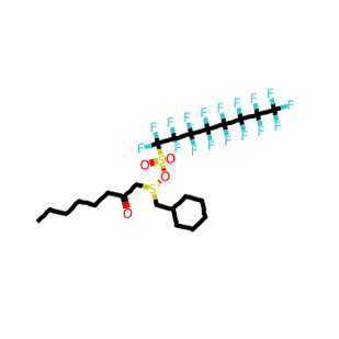 CCCCCCC(=O)C[S+](CC1CCCCC1)OS(=O)(=O)C(F)(F)C(F)(F)C(F)(F)C(F)(F)C(F)(F)C(F)(F)C(F)(F)C(F)(F)F